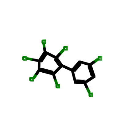 Clc1cc(Cl)cc(-c2c(Cl)c(Cl)c(Cl)c(Cl)c2Cl)c1